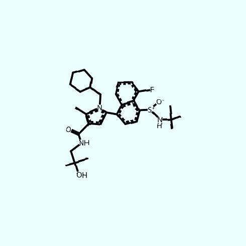 Cc1c(C(=O)NCC(C)(C)O)cc(-c2ccc([S+]([O-])NC(C)(C)C)c3c(F)cccc23)n1CC1CCCCC1